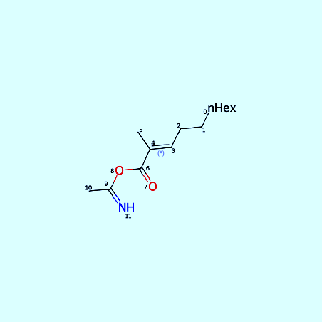 CCCCCCCC/C=C(\C)C(=O)OC(C)=N